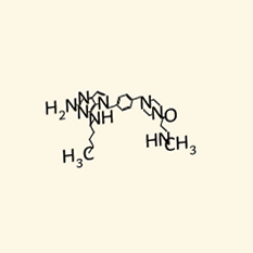 CCCCCNc1nc(N)nc2ccn(Cc3ccc(CN4CCN(C(=O)CCNC)CC4)cc3)c12